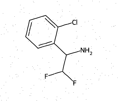 NC(c1ccccc1Cl)C(F)F